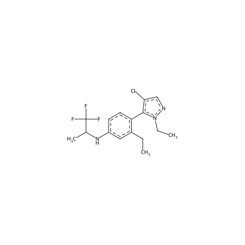 CCc1cc(NC(C)C(F)(F)F)ccc1-c1c(Cl)cnn1CC